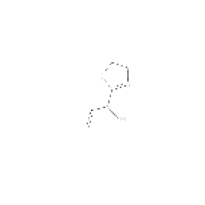 C=CC(N)C1=NCCO1